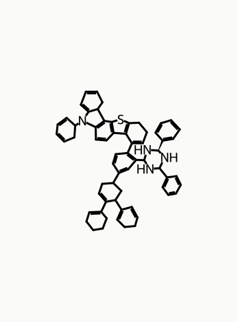 C1=CCC2C(=C1)N(C1C=CC=CC1)c1ccc3c4c(sc3c12)CCC=C4c1ccc(C2CC=C(C3=CCCCC3)C(C3=CCCC=C3)C2)cc1C1NC(c2ccccc2)N[C@H](c2ccccc2)N1